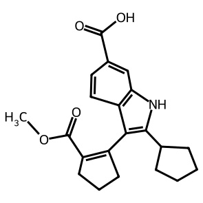 COC(=O)C1=C(c2c(C3CCCC3)[nH]c3cc(C(=O)O)ccc23)CCC1